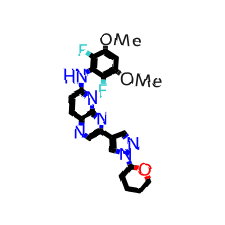 COc1cc(OC)c(F)c(Nc2ccc3ncc(-c4cnn(C5CCCCO5)c4)nc3n2)c1F